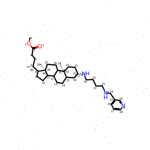 COC(=O)CC[C@@H](C)C1CCC2C3CCC4C[C@@H](NCCCCNCc5cccnc5)CC[C@]4(C)C3CC[C@@]21C